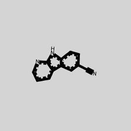 N#Cc1ccc2[nH]c3ncccc3c2c1